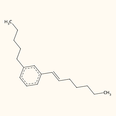 CCCCCC=Cc1cccc(CCCCC)c1